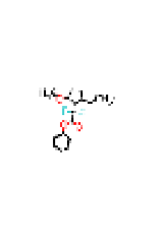 [CH2]CC1C[CH]C(OC)C1C(F)(F)C(=O)Oc1ccccc1